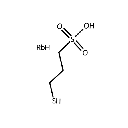 O=S(=O)(O)CCCS.[RbH]